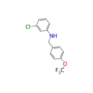 FC(F)(F)Oc1ccc(CNc2cccc(Cl)c2)cc1